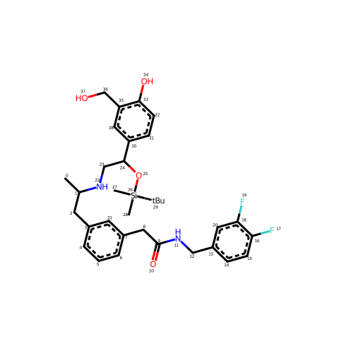 CC(Cc1cccc(CC(=O)NCc2ccc(F)c(F)c2)c1)NCC(O[Si](C)(C)C(C)(C)C)c1ccc(O)c(CO)c1